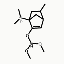 CO[SiH](OC)OC1=CC2CC1([SiH](C)C)CC2C